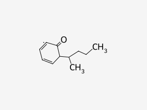 CCCC(C)C1C=CC=[C]C1=O